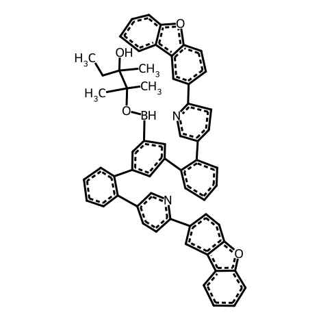 CCC(C)(O)C(C)(C)OBc1cc(-c2ccccc2-c2ccc(-c3ccc4oc5ccccc5c4c3)nc2)cc(-c2ccccc2-c2ccc(-c3ccc4oc5ccccc5c4c3)nc2)c1